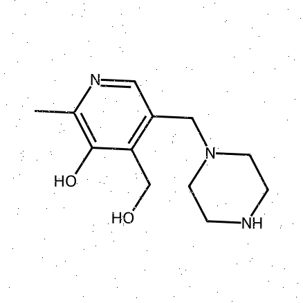 Cc1ncc(CN2CCNCC2)c(CO)c1O